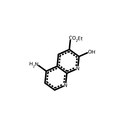 CCOC(=O)c1cc2c(N)ccnc2nc1O